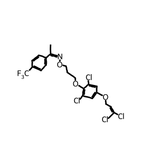 CC(=NOCCCOc1c(Cl)cc(OCC=C(Cl)Cl)cc1Cl)c1ccc(C(F)(F)F)cc1